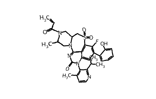 C=CC(=O)N1CC2CS(=O)(=O)c3c(F)c(-c4ccccc4O)c(F)c4c3c(nc(=O)n4-c3c(C)ccnc3C(C)C)N2CC1C